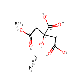 O=C([O-])CC(O)(CC(=O)[O-])C(=O)[O-].[BiH3].[K+].[K+].[K+]